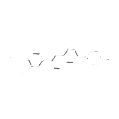 CCC(=O)/C(=C\c1ccc(N2CCN(C)CC2)cc1C)c1ccc(OC)c(C(C)C)c1